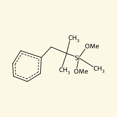 CO[Si](C)(OC)C(C)(C)Cc1ccccc1